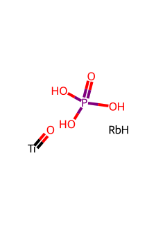 O=P(O)(O)O.[O]=[Ti].[RbH]